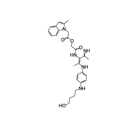 CC(=N)/C(NC(=O)COC(=O)Cn1c(C)cc2ccccc21)=C(/C)Nc1ccc(NCCCCO)cc1